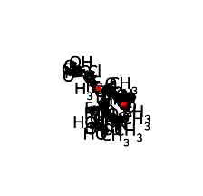 CCS(=O)(=O)c1cccnc1S(=O)(=O)NC(=O)Nc1nc(OC)cc(OC)n1.COc1nc(C)nc(NC(=O)NS(=O)(=O)c2ccccc2CCC(F)(F)F)n1.CP(=O)(O)CCC(N)C(=O)O.O=C(O)c1cc(Oc2ccc(C(F)(F)F)cc2Cl)ccc1[N+](=O)[O-]